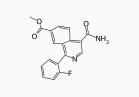 COC(=O)c1ccc2c(C(N)=O)cnc(-c3ccccc3F)c2c1